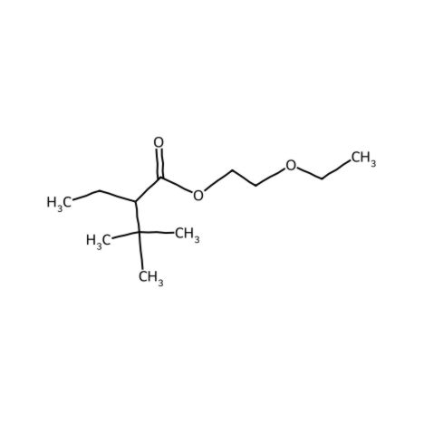 CCOCCOC(=O)C(CC)C(C)(C)C